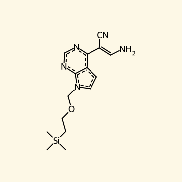 C[Si](C)(C)CCOCn1ccc2c(C(C#N)=CN)ncnc21